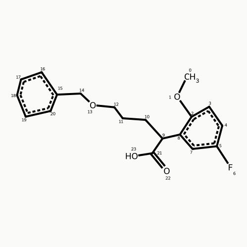 COc1ccc(F)cc1C(CCCOCc1ccccc1)C(=O)O